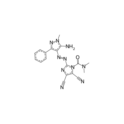 CN(C)C(=O)n1c(/N=N/c2c(-c3ccccc3)nn(C)c2N)nc(C#N)c1C#N